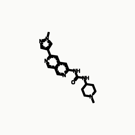 CN1CCC(NC(=O)Nc2cc3cc(-c4cnn(C)c4)ncc3cn2)CC1